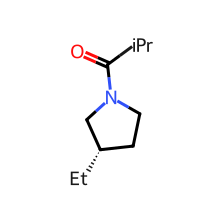 CC[C@H]1CCN(C(=O)C(C)C)C1